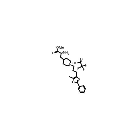 COC(=O)C(N)CC1CCN(CCCc2nc(-c3ccccc3)oc2C)CC1.O=C(O)C(F)(F)F